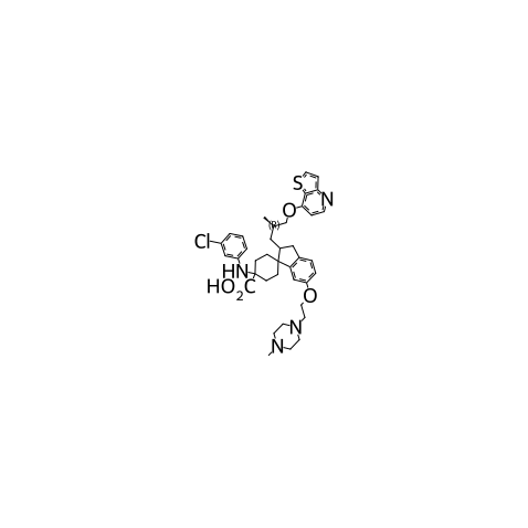 C[C@@H](COc1ccnc2ccsc12)CC1Cc2ccc(OCCN3CCN(C)CC3)cc2C12CCC(Nc1cccc(Cl)c1)(C(=O)O)CC2